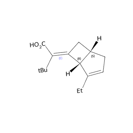 CCC1=CC[C@H]2C/C(=C(\C(=O)O)C(C)(C)C)[C@@H]12